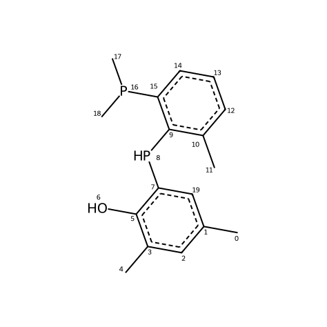 Cc1cc(C)c(O)c(Pc2c(C)cccc2P(C)C)c1